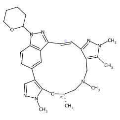 Cc1c2c(nn1C)/C=C/c1nn(C3CCCCO3)c3ccc(cc13)-c1cnn(C)c1O[C@@H](C)CN(C)C2